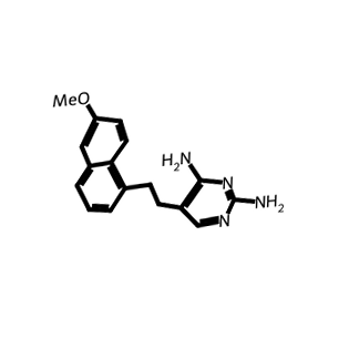 COc1ccc2c(CCc3cnc(N)nc3N)cccc2c1